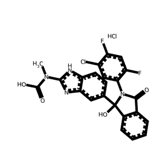 CN(C(=O)O)c1nc2cc(C3(O)c4ccccc4C(=O)N3c3cc(Cl)c(F)cc3F)ccc2[nH]1.Cl